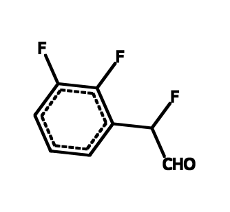 O=CC(F)c1cccc(F)c1F